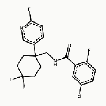 O=C(NCC1(c2ccc(F)nc2)CCC(F)(F)CC1)c1cc(Cl)ccc1F